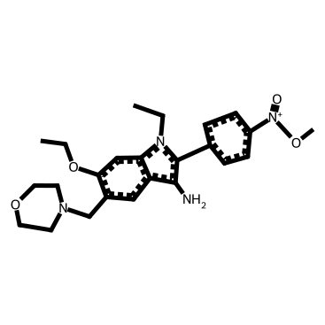 CCOc1cc2c(cc1CN1CCOCC1)c(N)c(-c1ccc([N+](=O)OC)cc1)n2CC